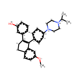 COc1ccc2c(c1)C(c1ccc(N3CCN(C(C)C)CC3)cc1)=C(c1cccc(O)c1)CC2